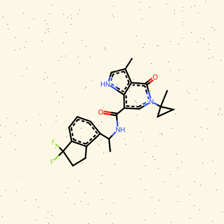 Cc1c[nH]c2c(C(=O)NC(C)c3cccc4c3CCC4(F)F)cn(C3(C)CC3)c(=O)c12